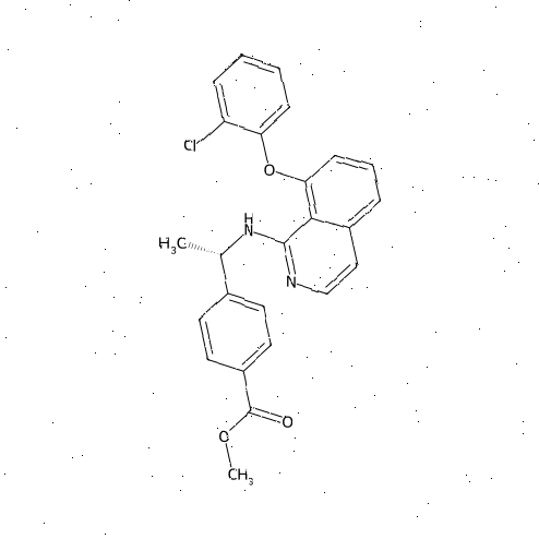 COC(=O)c1ccc([C@H](C)Nc2nccc3cccc(Oc4ccccc4Cl)c23)cc1